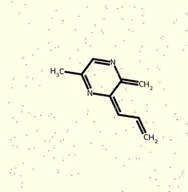 C=C/C=c1/nc(C)cnc1=C